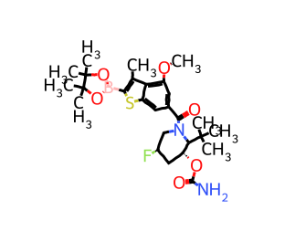 COc1cc(C(=O)N2C[C@H](F)C[C@@H](OC(N)=O)C2C(C)(C)C)cc2sc(B3OC(C)(C)C(C)(C)O3)c(C)c12